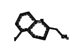 CCc1ccc2c(F)cccc2n1